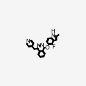 Cc1cc2c(F)c(Oc3nnc(Cc4ccncc4)c4ccccc34)ccc2[nH]1